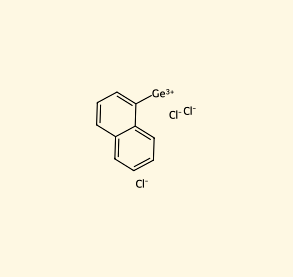 [Cl-].[Cl-].[Cl-].[Ge+3][c]1cccc2ccccc12